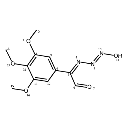 COc1cc(C(C=O)=NN=NO)cc(OC)c1OC